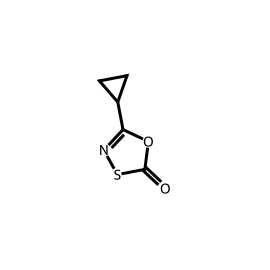 O=c1oc(C2CC2)ns1